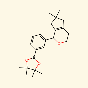 CC1(C)CC2=C(C1)C(c1cccc(B3OC(C)(C)C(C)(C)O3)c1)OCC2